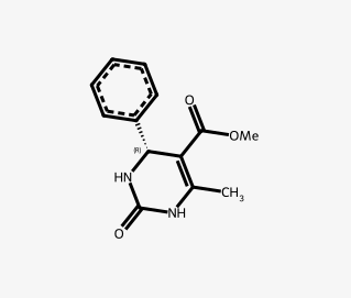 COC(=O)C1=C(C)NC(=O)N[C@@H]1c1ccccc1